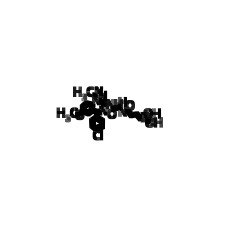 COc1ccc2c(c1)C(c1ccc(Cl)cc1)=N[C@@H](NC(=O)CNC(=O)CCCB(O)O)c1nnc(C)n1-2